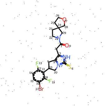 O=C(Cc1[nH]c(=S)n2c1CC(c1c(F)ccc(Br)c1F)C2)N1CCC2(CCOC2)C1